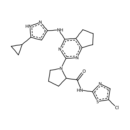 O=C(Nc1ncc(Cl)s1)C1CCCN1c1nc2c(c(Nc3cc(C4CC4)[nH]n3)n1)CCC2